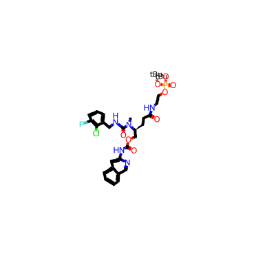 CN(C(=O)NCc1cccc(F)c1Cl)[C@@H](CCC(=O)NCCOP(=O)(OC(C)(C)C)OC(C)(C)C)COC(=O)Nc1cc2ccccc2cn1